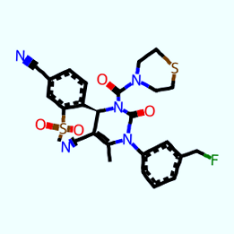 CC1=C(C#N)[C@@H](c2ccc(C#N)cc2S(C)(=O)=O)N(C(=O)N2CCSCC2)C(=O)N1c1cccc(CF)c1